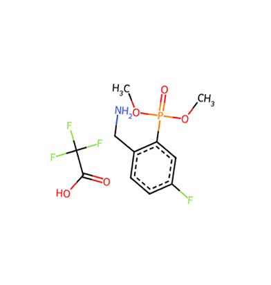 COP(=O)(OC)c1cc(F)ccc1CN.O=C(O)C(F)(F)F